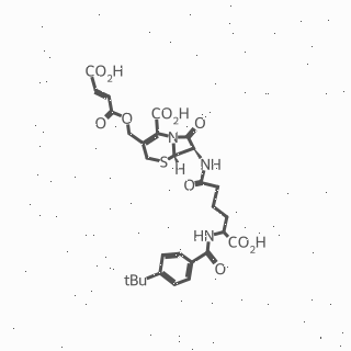 CC(C)(C)c1ccc(C(=O)NC(CCCC(=O)N[C@@H]2C(=O)N3C(C(=O)O)=C(COC(=O)C=CC(=O)O)CS[C@@H]23)C(=O)O)cc1